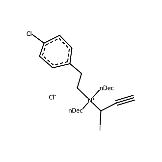 C#CC(I)[N+](CCCCCCCCCC)(CCCCCCCCCC)CCc1ccc(Cl)cc1.[Cl-]